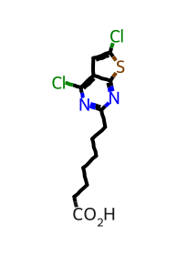 O=C(O)CCCCCCc1nc(Cl)c2cc(Cl)sc2n1